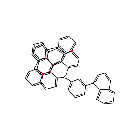 c1ccc(-c2cccc3cccc(-c4ccccc4N(c4cccc(-c5cccc6ccccc56)c4)c4ccccc4-c4cccc5cccc(-c6ccccc6)c45)c23)cc1